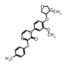 COc1cc(-n2ccnc(Sc3ccc(C)cc3)c2=O)ccc1OC1COC[C@H]1C